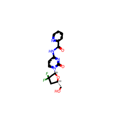 O=C(Nc1ccn([C@@H]2O[C@H](CO)CC2(F)F)c(=O)n1)c1ccccn1